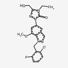 CCn1c(CO)nn(-c2cc(OC)c3c(cnn3Cc3c(F)cccc3Cl)c2)c1=O